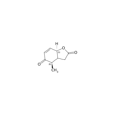 C[C@H]1C(=O)C=C[C@H]2OC(=O)CC21